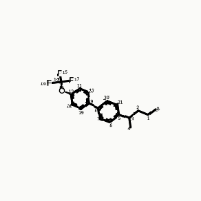 [CH2]CCC(C)c1ccc(-c2ccc(OC(F)(F)F)cc2)cc1